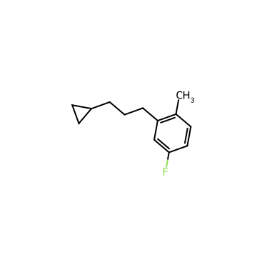 Cc1ccc(F)cc1CCCC1CC1